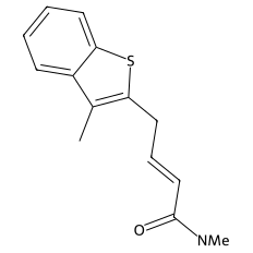 CNC(=O)C=CCc1sc2ccccc2c1C